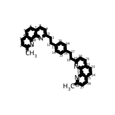 Cc1ccc2ccc3ccc(CCc4ccc(CCc5ccc6ccc7ccc(C)nc7c6n5)cc4)nc3c2n1